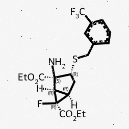 CCOC(=O)[C@@]1(N)[C@H]2[C@@H](C[C@H]1SCc1cccc(C(F)(F)F)c1)[C@]2(F)C(=O)OCC